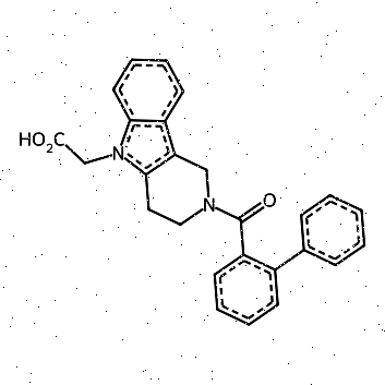 O=C(O)Cn1c2c(c3ccccc31)CN(C(=O)c1ccccc1-c1ccccc1)CC2